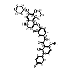 CCOc1ccn(C2C=CC(F)=CC2)c(=O)c1C(=O)Nc1ccc(OC2=CCNc3cc(OC4CCOCC4)c4c(c32)OCCO4)c(F)c1